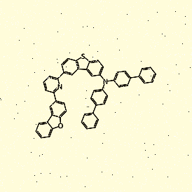 c1ccc(-c2ccc(N(c3ccc(-c4ccccc4)cc3)c3ccc4sc5ccc(-c6cccc(-c7ccc8oc9ccccc9c8c7)n6)cc5c4c3)cc2)cc1